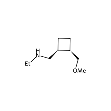 CCNC[C@H]1CC[C@H]1COC